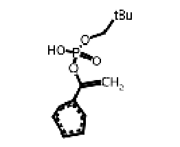 C=C(OP(=O)(O)OCC(C)(C)C)c1ccccc1